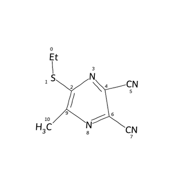 CCSc1nc(C#N)c(C#N)nc1C